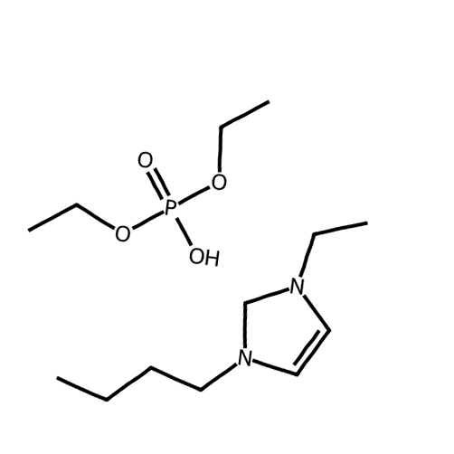 CCCCN1C=CN(CC)C1.CCOP(=O)(O)OCC